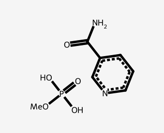 COP(=O)(O)O.NC(=O)c1cccnc1